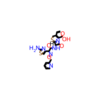 C=CC1=C(C(=O)O)N2C(=O)C(NC(=O)C(=NOCc3ccccn3)c3csc(N)n3)[C@@H]2SC1